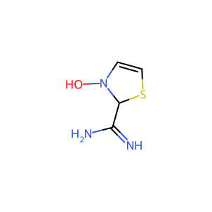 N=C(N)C1SC=CN1O